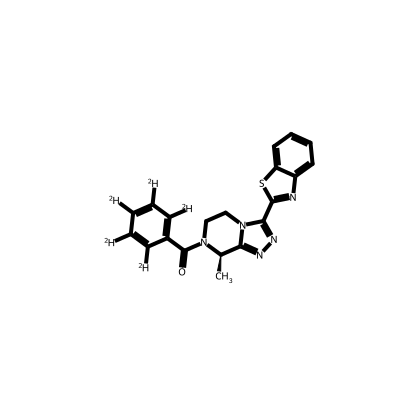 [2H]c1c([2H])c([2H])c(C(=O)N2CCn3c(-c4nc5ccccc5s4)nnc3[C@H]2C)c([2H])c1[2H]